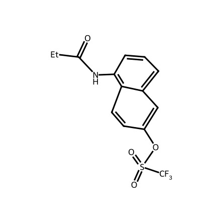 CCC(=O)Nc1cccc2cc(OS(=O)(=O)C(F)(F)F)ccc12